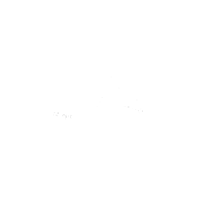 CCCCCCCCCCc1ccccc1[CH]C1CO1